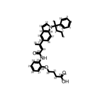 CCCC(C)(c1ccccc1)n1ccc2cc(C(C)=CC(=O)Nc3ccccc3OCCCC(=O)O)ccc21